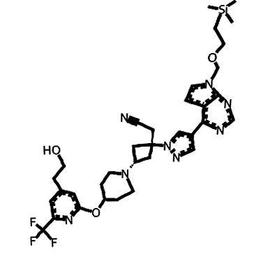 C[Si](C)(C)CCOCn1ccc2c(-c3cnn([C@]4(CC#N)C[C@H](N5CCC(Oc6cc(CCO)cc(C(F)(F)F)n6)CC5)C4)c3)ncnc21